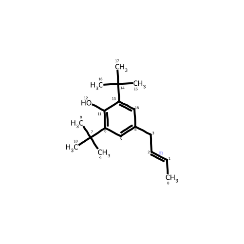 C/C=C/Cc1cc(C(C)(C)C)c(O)c(C(C)(C)C)c1